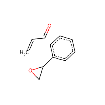 C=CC=O.c1ccc(C2CO2)cc1